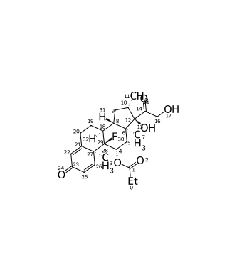 CCC(=O)O[C@H]1C[C@@]2(C)[C@@H](C[C@H](C)[C@]2(O)C(=O)CO)[C@@H]2CCC3=CC(=O)C=C[C@]3(C)[C@@]12F